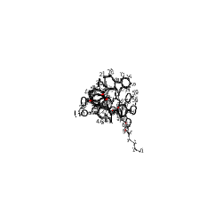 CCCCCCCCCCCC(n1c2ccccc2c2ccnc(-c3cc(CO)c(CO)c(OC)c3)c21)n1c2ccccc2c2ccnc(-c3cc(OC)c(OC)c(OC)c3)c21